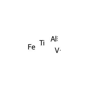 [Al].[Fe].[Ti].[V]